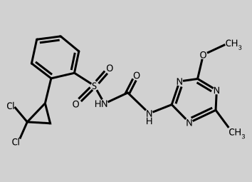 COc1nc(C)nc(NC(=O)NS(=O)(=O)c2ccccc2C2CC2(Cl)Cl)n1